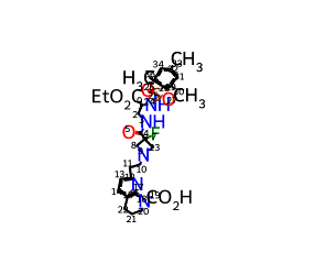 CCOC(=O)C(CNC(=O)C1(F)CN(CCc2ccc3c(n2)N(C(=O)O)CCC3)C1)NS(=O)(=O)c1c(C)cc(C)cc1C